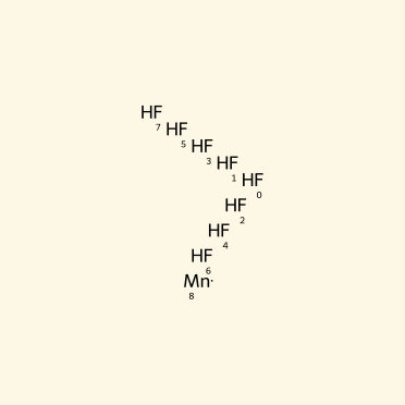 F.F.F.F.F.F.F.F.[Mn]